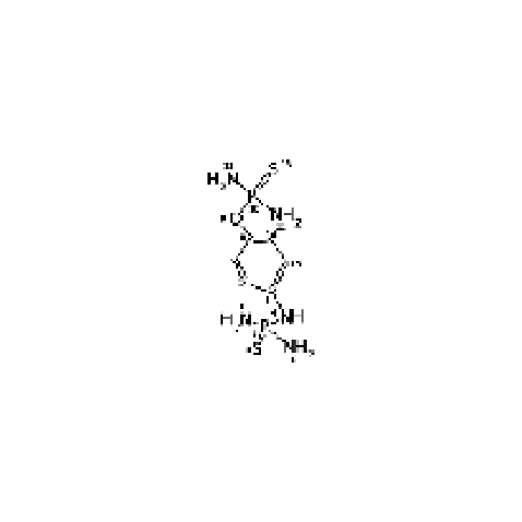 NP(N)(=S)Nc1ccc(OP(N)(N)=S)cc1